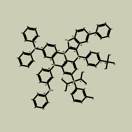 Cc1cccc([Si](c2cc3c4c(c2)N(c2ccc(C(C)(C)C)cc2)c2c(sc5ccc(-c6ccccc6)cc25)B4c2ccc(N(c4ccccc4)c4ccccc4)cc2N3c2cccc(Oc3ccccc3)c2)(C(C)C)C(C)C)c1